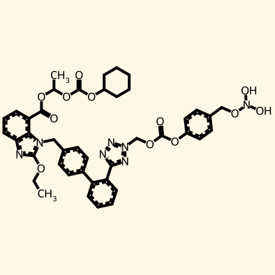 CCOc1nc2cccc(C(=O)OC(C)OC(=O)OC3CCCCC3)c2n1Cc1ccc(-c2ccccc2-c2nnn(COC(=O)Oc3ccc(CON(O)O)cc3)n2)cc1